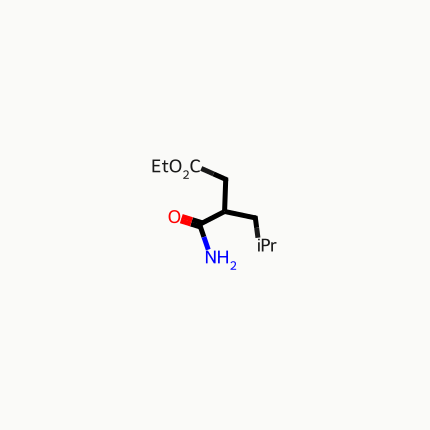 CCOC(=O)CC(CC(C)C)C(N)=O